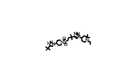 CCN1CCC(n2cc(C(C)(C)CCS(=O)(=O)N3CCC(n4cc(C(C)(C)C)nn4)CC3)nn2)CC1(C)C